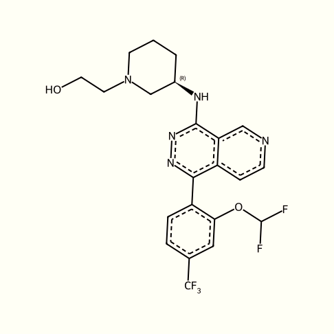 OCCN1CCC[C@@H](Nc2nnc(-c3ccc(C(F)(F)F)cc3OC(F)F)c3ccncc23)C1